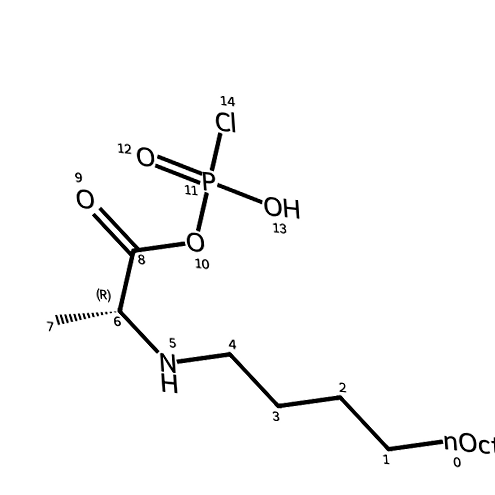 CCCCCCCCCCCCN[C@H](C)C(=O)OP(=O)(O)Cl